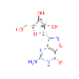 C[C@@]1(O)[C@H](O)[C@@H](CO)O[C@H]1c1noc2c(=O)[nH]c(N)nc12